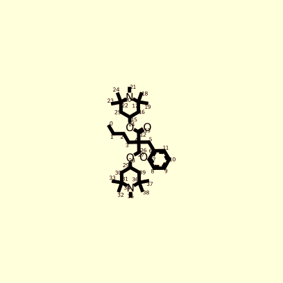 CCCCC(Cc1ccccc1)(C(=O)OC1CC(C)(C)N(C)C(C)(C)C1)C(=O)OC1CC(C)(C)N(C)C(C)(C)C1